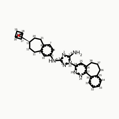 Nc1nc(Nc2ccc3c(c2)CC[C@@H](N2CC4CC2C4)CC3)nn1-c1cc2c(nn1)-c1ccccc1CCC2